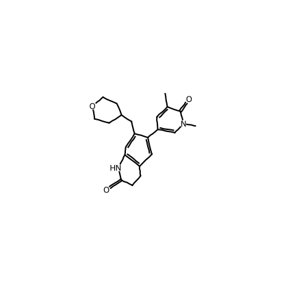 Cc1cc(-c2cc3c(cc2CC2CCOCC2)NC(=O)CC3)cn(C)c1=O